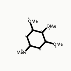 CNC1CC(OC)C(OC)C(OC)C1